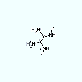 CNC(N)C(N)NC